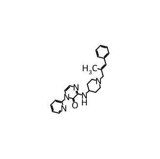 C/C(=C\c1ccccc1)CN1CCC(Nc2nccn(-c3ccccn3)c2=O)CC1